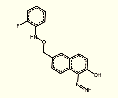 N=Nc1c(O)ccc2cc(CONc3ccccc3F)ccc12